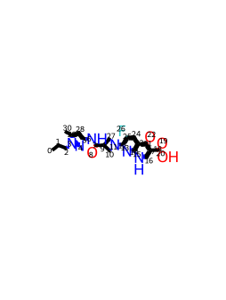 CCCn1nc(NC(=O)C2CN(c3nc4[nH]cc(C(=O)O)c(=O)c4cc3F)C2)cc1C